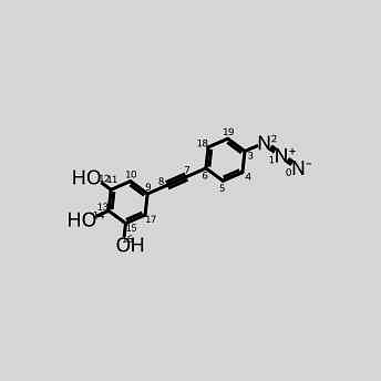 [N-]=[N+]=Nc1ccc(C#Cc2cc(O)c(O)c(O)c2)cc1